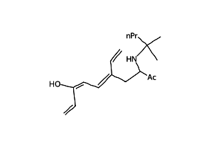 C=C/C(=C\C=C(\O)C=C)CC(NC(C)(C)CCC)C(C)=O